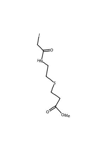 COC(=O)CCSCCNC(=O)CI